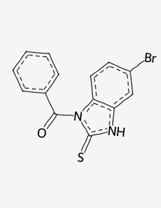 O=C(c1ccccc1)n1c(=S)[nH]c2cc(Br)ccc21